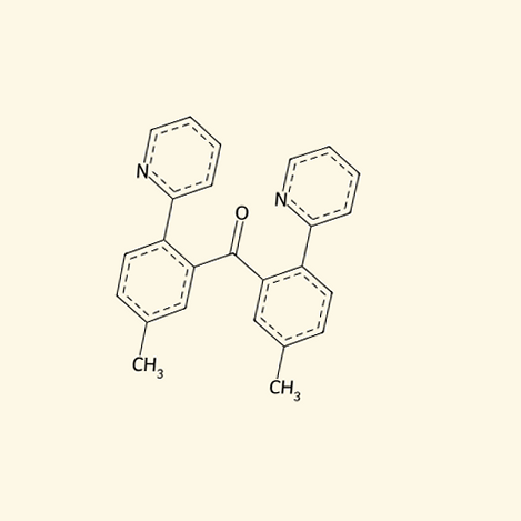 Cc1ccc(-c2ccccn2)c(C(=O)c2cc(C)ccc2-c2ccccn2)c1